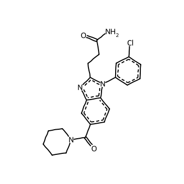 NC(=O)CCc1nc2cc(C(=O)N3CCCCC3)ccc2n1-c1cccc(Cl)c1